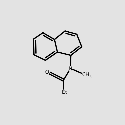 CCC(=O)N(C)c1cccc2ccccc12